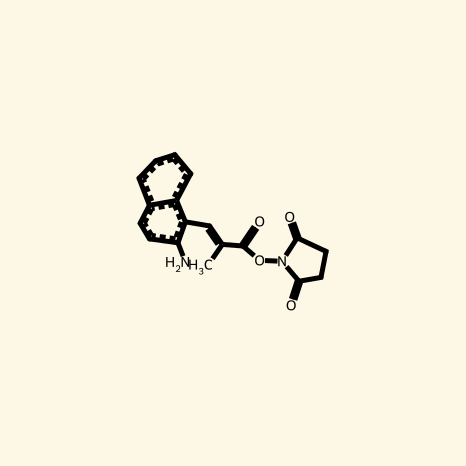 CC(=Cc1c(N)ccc2ccccc12)C(=O)ON1C(=O)CCC1=O